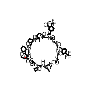 CC[C@H](C)[C@@H]1NC(=O)[C@H](C2CCC2)N(C)C(=O)C[C@@H](C(=O)N2C3CCC2COC3)N(C)C(=O)[C@H](C2CCCCC2)N(C)C(=O)C2(CCCC2)NC(=O)[C@@H]2CCCN2C(=O)[C@H](CCc2ccc(C(F)(F)F)c(Cl)c2)NC(=O)CN(C)C(=O)[C@H](Cc2ccc(C(F)(F)F)cc2)N(C)C(=O)CN(C)C(=O)CN(C)C1=O